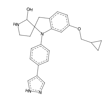 OC1NCCC12Cc1ccc(OCC3CC3)cc1N2c1ccc(-c2cn[nH]c2)cc1